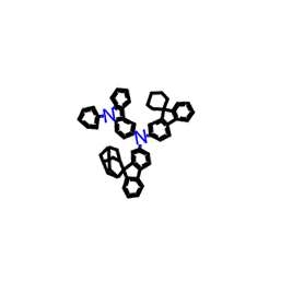 c1ccc(-n2c3ccccc3c3cc(N(c4ccc5c(c4)C4(CCCCC4)c4ccccc4-5)c4ccc5c(c4)C4(c6ccccc6-5)C5CC6CC(C5)CC4C6)ccc32)cc1